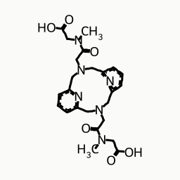 CN(CC(=O)O)C(=O)CN1Cc2cccc(n2)CN(CC(=O)N(C)CC(=O)O)Cc2cccc(n2)C1